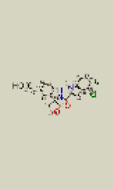 Cn1c(C(=O)NC2(c3cccc(CC(=O)O)c3)CCOC2)cc2c(Cl)c(Cl)ccc21